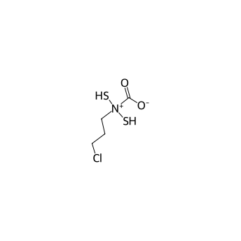 O=C([O-])[N+](S)(S)CCCCl